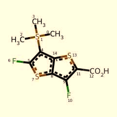 CS(C)(C)c1c(F)sc2c(F)c(C(=O)O)sc12